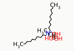 CCCCCCCCCC[N+](C)(C)CCCCCCCCCC.OB(O)O